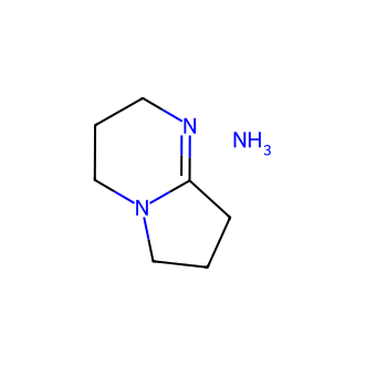 C1CN=C2CCCN2C1.N